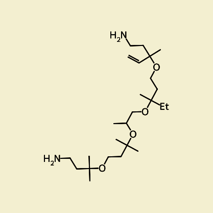 C=CC(C)(CCN)OCCC(C)(CC)OCC(C)OC(C)(C)CCOC(C)(C)CCN